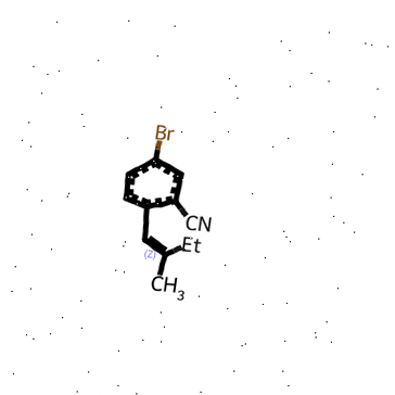 CC/C(C)=C\c1ccc(Br)cc1C#N